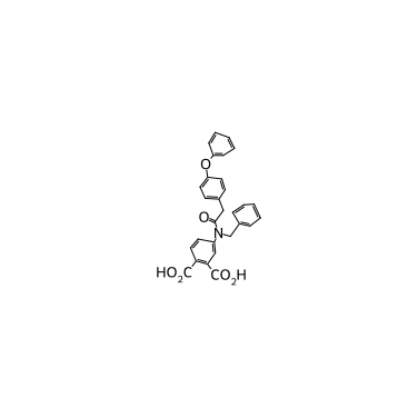 O=C(O)c1ccc(N(Cc2ccccc2)C(=O)Cc2ccc(Oc3ccccc3)cc2)cc1C(=O)O